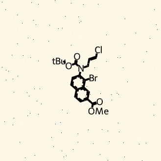 COC(=O)c1ccc2ccc(N(CC=CCl)C(=O)OC(C)(C)C)c(Br)c2c1